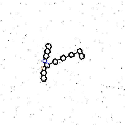 c1ccc2cc3cc4c(cc3cc2c1)nc1c2sc3cc5ccccc5cc3c2cc(-c2ccc(-c3ccc(-c5ccc(-c6cccc7ccccc67)cc5)cc3)cc2)n41